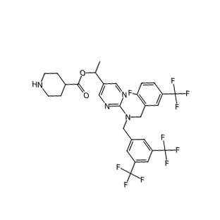 CC(OC(=O)C1CCNCC1)c1cnc(N(Cc2cc(C(F)(F)F)cc(C(F)(F)F)c2)Cc2cc(C(F)(F)F)ccc2F)nc1